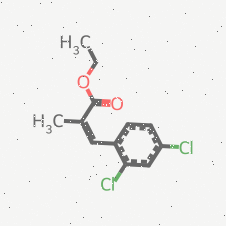 CCOC(=O)C(C)=Cc1ccc(Cl)cc1Cl